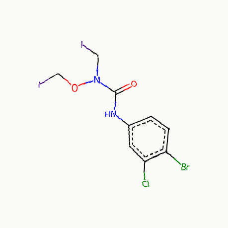 O=C(Nc1ccc(Br)c(Cl)c1)N(CI)OCI